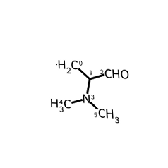 [CH2]C(C=O)N(C)C